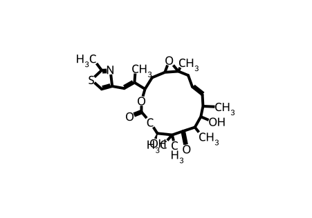 C/C(=C\c1csc(C)n1)C1CC2OC2(C)C/C=C/C(C)C(O)C(C)C(=O)C(C)(C)[C@@H](O)CC(=O)O1